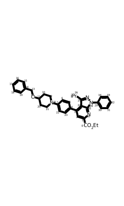 CCOC(=O)c1cc(-c2ccc(N3CCC(OCc4ccccc4)CC3)cc2)c2c(C(C)C)nn(-c3ccccc3)c2n1